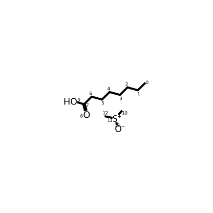 CCCCCCCC(=O)O.C[S+](C)[O-]